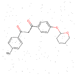 CC(C)(C)c1ccc(C(=O)CC(=O)c2ccc(OC3CCCCO3)cc2)cc1